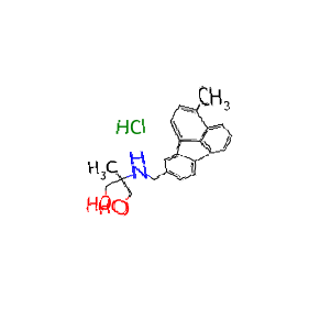 Cc1ccc2c3c(cccc13)-c1ccc(CNC(C)(CO)CO)cc1-2.Cl